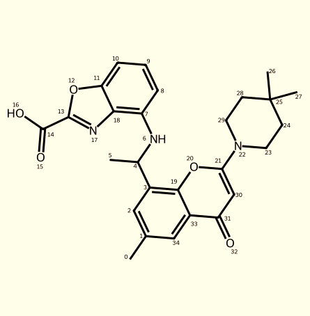 Cc1cc(C(C)Nc2cccc3oc(C(=O)O)nc23)c2oc(N3CCC(C)(C)CC3)cc(=O)c2c1